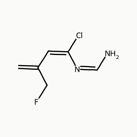 C=C(/C=C(Cl)\N=C/N)CF